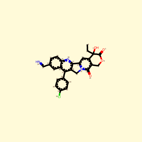 CCC1(O)C(=O)OCc2c1cc1n(c2=O)Cc2c-1nc1ccc(C=N)cc1c2-c1ccc(Cl)cc1